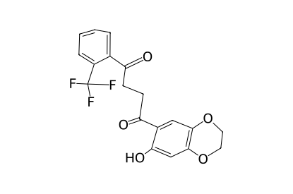 O=C(CCC(=O)c1ccccc1C(F)(F)F)c1cc2c(cc1O)OCCO2